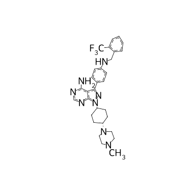 CN1CCN([C@H]2CC[C@@H](n3nc(-c4ccc(NCc5ccccc5C(F)(F)F)cc4)c4c(N)ncnc43)CC2)CC1